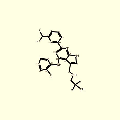 CC(C)(O)CNCc1c[nH]c2nc(-c3cccc(C(F)F)n3)nc(Nc3ccncc3F)c12